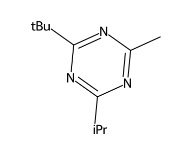 Cc1nc(C(C)C)nc(C(C)(C)C)n1